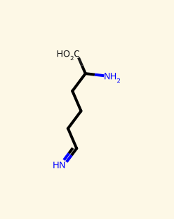 N=CCCCC(N)C(=O)O